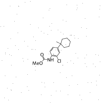 COC(=O)Nc1ccc(C2(C)CCCCC2)cc1Cl